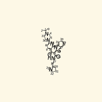 CC(C)N1CCN(c2ccc3c(=O)c(C(=O)NCCC4CCCN4C)c4sc5ccccc5n4c3n2)CC1